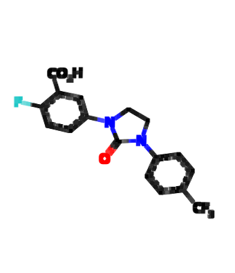 O=C(O)c1cc(N2CCN(c3ccc(C(F)(F)F)cc3)C2=O)ccc1F